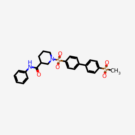 CS(=O)(=O)c1ccc(-c2ccc(S(=O)(=O)N3CCCC(C(=O)Nc4ccccc4)C3)cc2)cc1